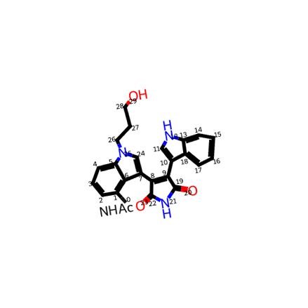 CC(=O)Nc1cccc2c1c(C1=C(c3c[nH]c4ccccc34)C(=O)NC1=O)cn2CCCO